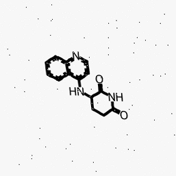 O=C1CCC(Nc2ccnc3ccccc23)C(=O)N1